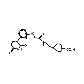 O=C(COc1cccc(N2CCC(=O)NC2=O)c1)NCCC1CCN(C(=O)O)CC1